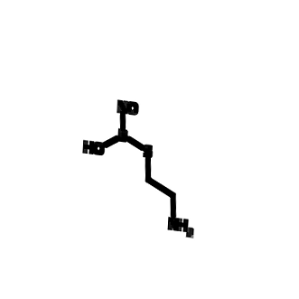 NCCSB(O)N=O